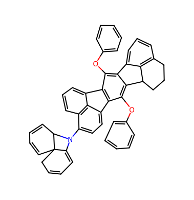 C1=CCC23C=CC=CC2N(c2ccc4c5c(cccc25)-c2c(Oc5ccccc5)c5c(c(Oc6ccccc6)c2-4)C2CCCc4cccc-5c42)C3=C1